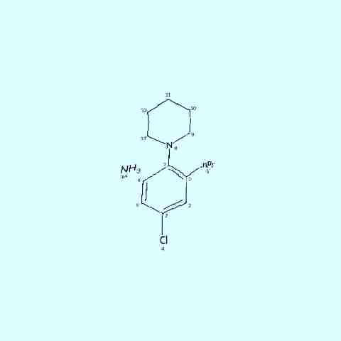 CCCc1cc(Cl)ccc1N1CCCCC1.N